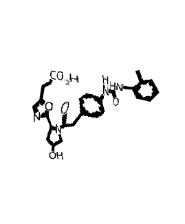 Cc1ccccc1NC(=O)Nc1ccc(CC(=O)N2CC(O)CC2c2ncc(CCC(=O)O)o2)cc1